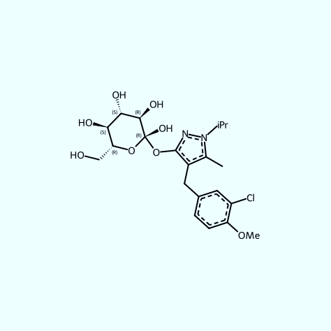 COc1ccc(Cc2c(O[C@]3(O)O[C@H](CO)[C@@H](O)[C@H](O)[C@H]3O)nn(C(C)C)c2C)cc1Cl